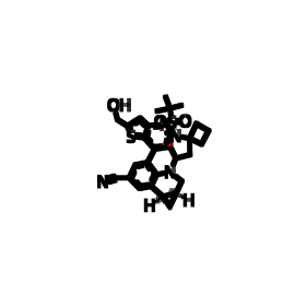 CC(C)(C)S(=O)(=O)N1CC(N2C[C@H]3C[C@H]3c3cc(C#N)cc(-c4ccnc5cc(CO)sc45)c32)CC12CCC2